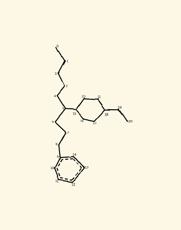 CCCCCC(CCCc1ccccc1)C1CCC(CC)CC1